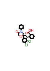 O=C(O)c1ccccc1CCC1(c2ccc(Cl)c(Cl)c2)CN(c2ccccc2)C(=O)CO1